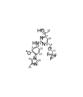 COc1cc(Nc2nc(COCC(F)(F)F)cc(C(C)O)n2)ccc1-n1cnc(C)c1